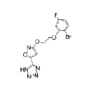 Fc1ccc(Br)c(OCCOc2cc(-c3nnn[nH]3)on2)c1